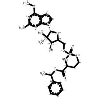 COc1nc(N)nc2c1ncn2[C@@H]1OC(COP2(=O)NC(C(=O)OC(C)c3ccccc3)CCS2)[C@@H](O)[C@@]1(C)O